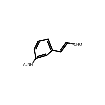 CC(=O)Nc1cccc(/C=C/C=O)c1